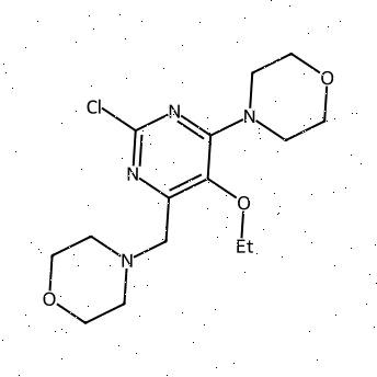 CCOc1c(CN2CCOCC2)nc(Cl)nc1N1CCOCC1